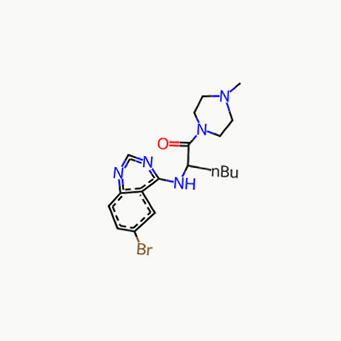 CCCCC(Nc1ncnc2ccc(Br)cc12)C(=O)N1CCN(C)CC1